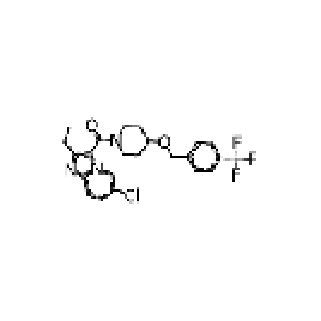 CCc1nc2ccc(Cl)cn2c1C(=O)N1CCC(OCc2ccc(C(F)(F)F)cc2)CC1